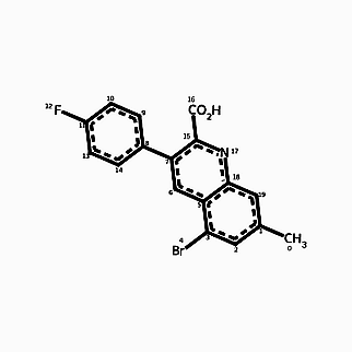 Cc1cc(Br)c2cc(-c3ccc(F)cc3)c(C(=O)O)nc2c1